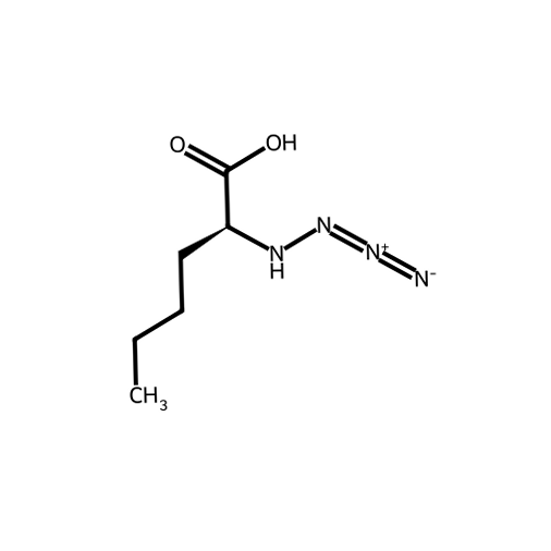 CCCC[C@H](NN=[N+]=[N-])C(=O)O